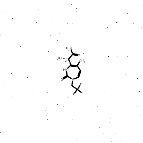 CC1=C([C@H](C)C(N)=O)NC(=O)N(CC(F)(F)F)C=C1